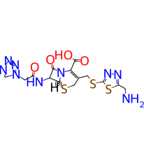 NCc1nnc(SCC2=C(C(=O)O)N3C(=O)C(NC(=O)Cn4cnnn4)[C@@H]3SC2)s1